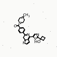 CN1CCN(C(=O)c2ccc(C3=NC(c4cnc(C5(O)CCC5)s4)=C4C=CN=C4C3)cc2)CC1